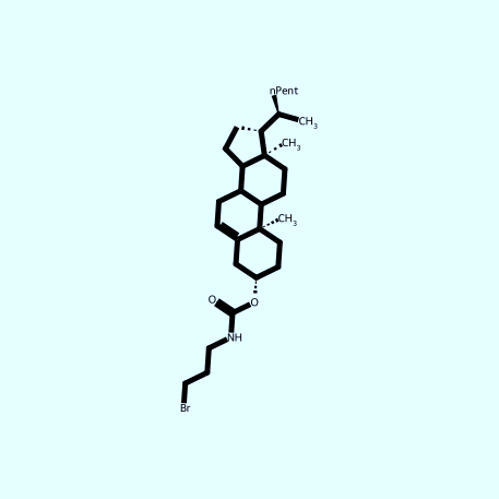 CCCCC[C@@H](C)[C@H]1CCC2C3CC=C4C[C@@H](OC(=O)NCCCBr)CC[C@]4(C)C3CC[C@@]21C